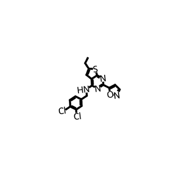 CCc1cc2c(NCc3ccc(Cl)c(Cl)c3)nc(-c3ccno3)nc2s1